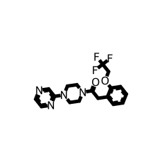 O=C(Cc1ccccc1OCC(F)(F)F)N1CCN(c2cnccn2)CC1